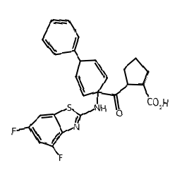 O=C(O)C1CCCC1C(=O)C1(Nc2nc3c(F)cc(F)cc3s2)C=CC(c2ccccc2)C=C1